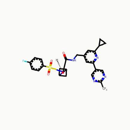 O=C(NCc1cc(-c2cnc(C(F)(F)F)nc2)nc(C2CC2)c1)[C@@H]1C2CC(C2)N1S(=O)(=O)c1ccc(F)cc1